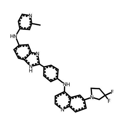 Cc1cc(Nc2ccc3[nH]c(-c4ccc(Nc5ccnc6ccc(N7CCC(F)(F)C7)cc56)cc4)nc3c2)ccn1